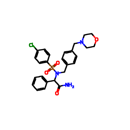 NC(=O)C(c1ccccc1)N(Cc1ccc(CN2CCOCC2)cc1)S(=O)(=O)c1ccc(Cl)cc1